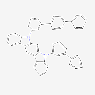 c1ccc(-c2ccc(-c3cccc(-n4c5ccccc5c5cc6c7ccccc7n(-c7cccc(-c8ccccc8)c7)c6cc54)c3)cc2)cc1